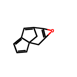 C1=CC23CC(=CC2=C1)C1=C(C3)O1